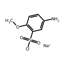 COc1ccc(N)cc1S(=O)(=O)[O-].[Na+]